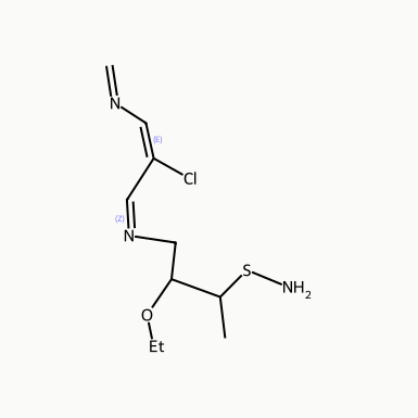 C=N/C=C(Cl)\C=N/CC(OCC)C(C)SN